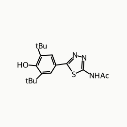 CC(=O)Nc1nnc(-c2cc(C(C)(C)C)c(O)c(C(C)(C)C)c2)s1